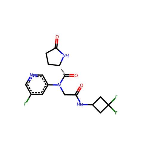 O=C(CN(C(=O)[C@@H]1CCC(=O)N1)c1cncc(F)c1)NC1CC(F)(F)C1